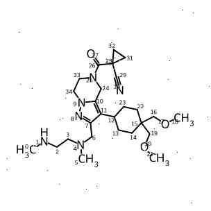 CNCCN(C)Cc1nn2c(c1C1CCC(COC)(COC)CC1)CN(C(=O)C1(C#N)CC1)CC2